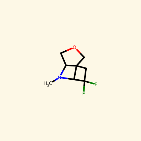 CN1C2COCC23CC(F)(F)C13